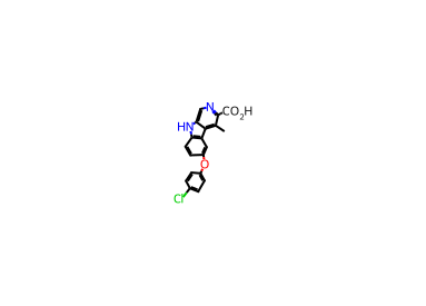 Cc1c(C(=O)O)ncc2[nH]c3ccc(Oc4ccc(Cl)cc4)cc3c12